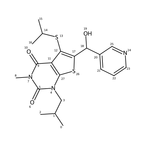 CC(C)Cn1c(=O)n(C)c(=O)c2c(SC(C)C)c(C(O)c3cccnc3)sc21